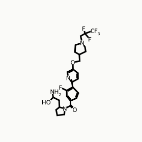 NC(O)CC1CCCN1C(=O)c1ccc(-c2ccc(OCC3CCN(CC(F)(F)C(F)(F)F)CC3)cn2)c(F)c1